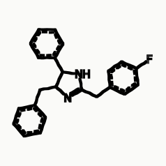 Fc1ccc(CC2=NC(Cc3ccccc3)C(c3ccccc3)N2)cc1